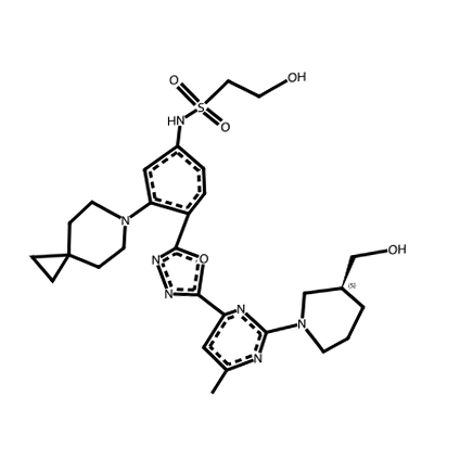 Cc1cc(-c2nnc(-c3ccc(NS(=O)(=O)CCO)cc3N3CCC4(CC3)CC4)o2)nc(N2CCC[C@H](CO)C2)n1